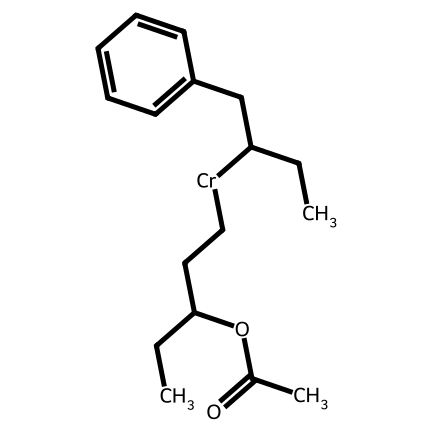 CCC(C[CH2][Cr][CH](CC)Cc1ccccc1)OC(C)=O